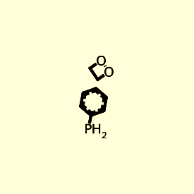 C1COO1.Pc1ccccc1